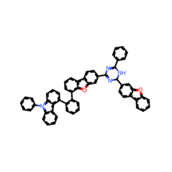 c1ccc(C2=NC(c3ccc4c(c3)oc3c(-c5ccccc5-c5cccc6c5c5ccccc5n6-c5ccccc5)cccc34)=NC(c3ccc4c(c3)oc3ccccc34)N2)cc1